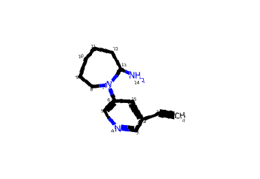 C#Cc1cncc(N2CCCCCC2N)c1